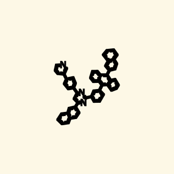 c1cncc(-c2ccc(-c3cc(-c4ccc5ccccc5c4)nc(-c4cccc(-c5c6ccccc6c(-c6ccc7ccccc7c6)c6ccccc56)c4)n3)cc2)c1